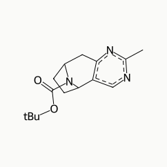 Cc1ncc2c(n1)CC1CCC2N1C(=O)OC(C)(C)C